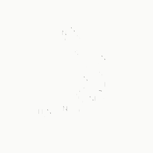 C/N=C1\S[C@@H]2N(C=C1CSc1cnns1)C(=O)[C@@]2(CSC)NC(=O)Oc1csc(N)n1